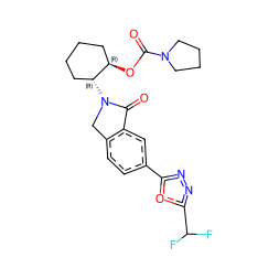 O=C(O[C@@H]1CCCC[C@H]1N1Cc2ccc(-c3nnc(C(F)F)o3)cc2C1=O)N1CCCC1